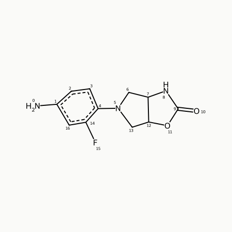 Nc1ccc(N2CC3NC(=O)OC3C2)c(F)c1